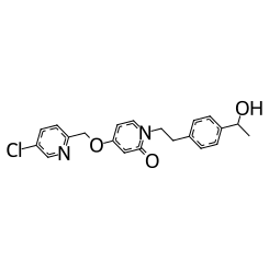 CC(O)c1ccc(CCn2ccc(OCc3ccc(Cl)cn3)cc2=O)cc1